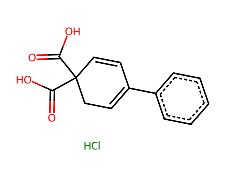 Cl.O=C(O)C1(C(=O)O)C=CC(c2ccccc2)=CC1